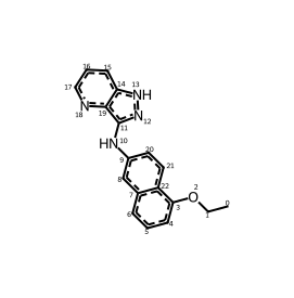 CCOc1cccc2cc(Nc3n[nH]c4cccnc34)ccc12